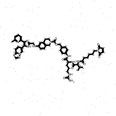 Cc1cccc(-c2nc(CNc3ccc4c(c3)CCN(C(=O)OCc3ccc(NC(=O)C(CCCNC(N)=O)NC(=O)C(NC(=O)CCCCCN5C(=O)C=CC5=O)C(C)C)cc3)C4)[nH]c2-c2ccc3ncnn3c2)n1